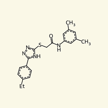 CCc1ccc(-c2nnc(SCC(=O)Nc3cc(C)cc(C)c3)[nH]2)cc1